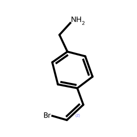 NCc1ccc(/C=C\Br)cc1